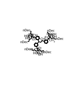 CCCCCCCCCCCCCC(CCCCCCCCCCCCC)(C(C)(CC)c1cccc(C(C)CC(c2cccc(C(C)(CC)C(CCCCCCCCCCCCC)(CCCCCCCCCCCCC)[PH](O)(O)O)c2)c2cccc(C(C)(CC)C(CCCCCCCCCCCCC)(CCCCCCCCCCCCC)[PH](O)(O)O)c2)c1)[PH](O)(O)O